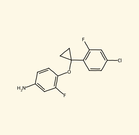 Nc1ccc(OC2(c3ccc(Cl)cc3F)CC2)c(F)c1